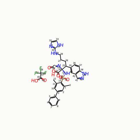 Cc1cc(-c2ccccc2)cc(C)c1S(=O)(=O)N[C@](N=C=O)(C(=O)O)C(CCCNc1ncc[nH]1)c1ccc2[nH]ncc2c1.O=C(O)C(F)(F)F